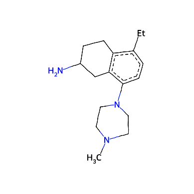 CCc1ccc(N2CCN(C)CC2)c2c1CCC(N)C2